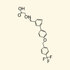 O=C(O)CO/N=C/c1cccc(-c2ccc(OCc3ccc(C(F)(F)F)cc3)cc2)c1